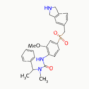 COc1cc(S(=O)(=O)Cc2ccc3c(c2)CNC3)ccc1NC(=O)N(C)C(C)c1ccccc1